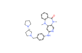 CN1C(=O)c2ccccc2N(C)c2cc(Nc3ccc(CN4CC[C@H](N5CCCC5)C4)cc3)ncc21